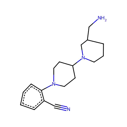 N#Cc1ccccc1N1CCC(N2CCCC(CN)C2)CC1